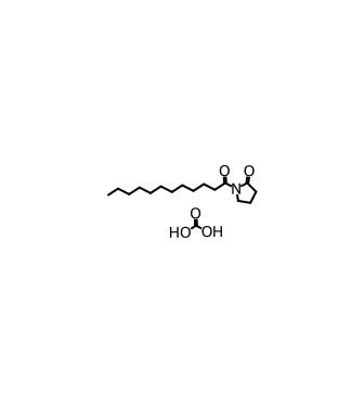 CCCCCCCCCCCC(=O)N1CCCC1=O.O=C(O)O